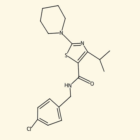 CC(C)c1nc(N2CCCCC2)sc1C(=O)NCc1ccc(Cl)cc1